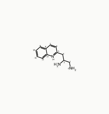 NCC(N)Cc1ccc2ccccc2n1